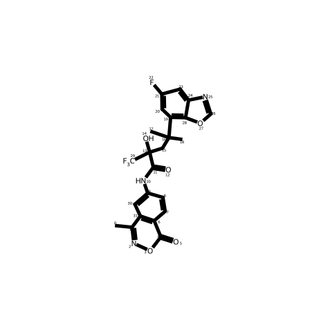 Cc1noc(=O)c2ccc(NC(=O)C(O)(CC(C)(C)c3cc(F)cc4ncoc34)C(F)(F)F)cc12